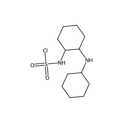 O=S(=O)(Cl)NC1CCCCC1NC1CCCCC1